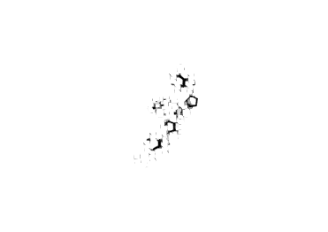 Cn1cnc2c(ncn2[C@H]2CC[C@@H](OP(=O)(S)O[C@H]3[C@@H](F)[C@H](n4cnc5c(N)ncnc54)O[C@@H]3COP(=O)(O)O)C2)c1=O